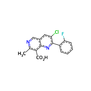 Cc1ncc2cc(Cl)c(-c3ccccc3F)nc2c1C(=O)O